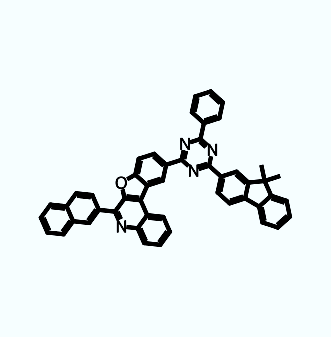 CC1(C)c2ccccc2-c2ccc(-c3nc(-c4ccccc4)nc(-c4ccc5oc6c(-c7ccc8ccccc8c7)nc7ccccc7c6c5c4)n3)cc21